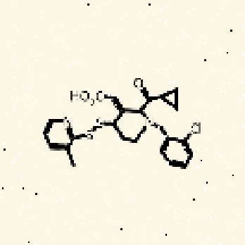 Cc1cccnc1SSC1CCN(Cc2ccccc2Cl)C(C(=O)C2CC2)/C1=C/C(=O)O